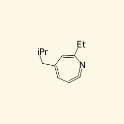 CCC1=CC(CC(C)C)=CC=C=N1